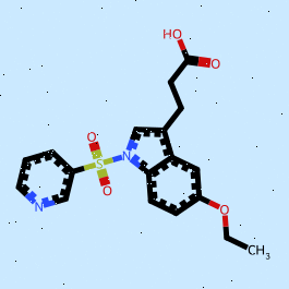 CCOc1ccc2c(c1)c(CCC(=O)O)cn2S(=O)(=O)c1cccnc1